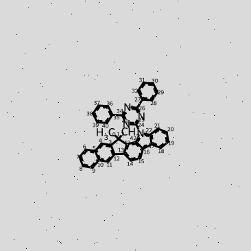 CC1(C)c2cc3ccccc3cc2-c2ccc3c4ccccc4n(-c4nc(-c5ccccc5)nc(-c5ccccc5)n4)c3c21